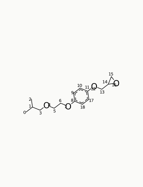 CC(C)COCCOc1ccc(OCC2CO2)cc1